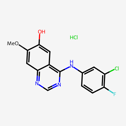 COc1cc2ncnc(Nc3ccc(F)c(Cl)c3)c2cc1O.Cl